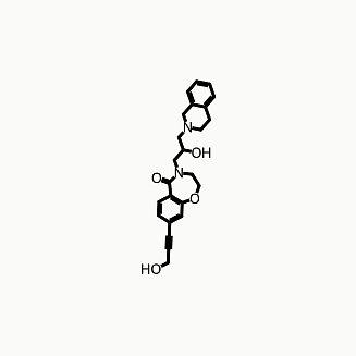 O=C1c2ccc(C#CCO)cc2OCCN1CC(O)CN1CCc2ccccc2C1